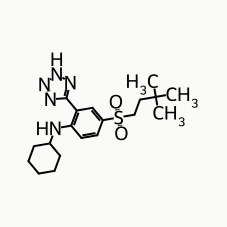 CC(C)(C)CCS(=O)(=O)c1ccc(NC2CCCCC2)c(-c2nn[nH]n2)c1